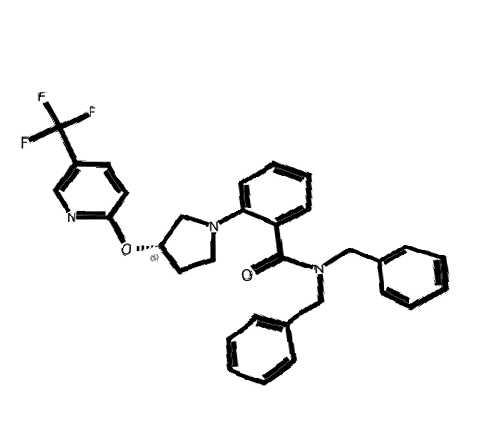 O=C(c1ccccc1N1CC[C@H](Oc2ccc(C(F)(F)F)cn2)C1)N(Cc1ccccc1)Cc1ccccc1